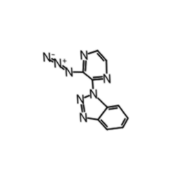 [N-]=[N+]=Nc1nccnc1-n1nnc2ccccc21